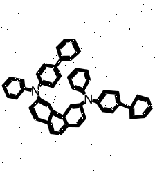 c1ccc(-c2ccc(N(c3ccccc3)c3ccc4ccc5ccc(N(c6ccccc6)c6ccc(-c7ccccc7)cc6)cc5c4c3)cc2)cc1